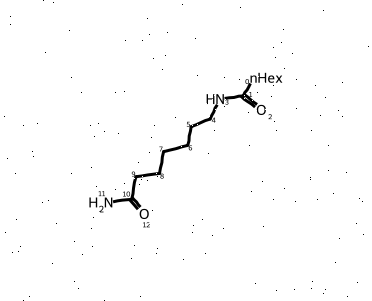 CCCCCCC(=O)NCCCCCCC(N)=O